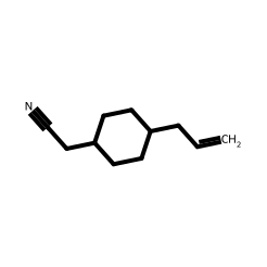 C=CCC1CCC(CC#N)CC1